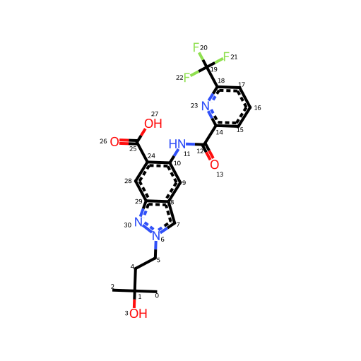 CC(C)(O)CCn1cc2cc(NC(=O)c3cccc(C(F)(F)F)n3)c(C(=O)O)cc2n1